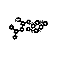 O=P(c1ccccc1)(c1ccccc1)c1ccc2sc3ccc(P(=O)(c4ccccc4)c4cccc(-[n+]5cccc(-c6cc(-c7cccnc7)cc(-c7cccc(-c8cc(-c9cccnc9)cc(-c9cccnc9)c8)c7)c6)c5)c4)cc3c2c1